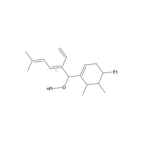 C=C/C(=C\C=C(C)C)C(OCCC)C1=CCC(CC)C(C)C1C